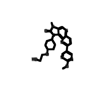 COc1ncc(-c2ccc3ncc4c(c3n2)n(C2CCC(OCCO)CC2)c(=O)n4C)cn1